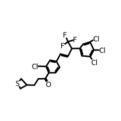 O=C(CCC1CSC1)c1ccc(/C=C/C(c2cc(Cl)c(Cl)c(Cl)c2)C(F)(F)F)cc1Cl